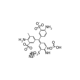 Cc1cc(/C(=C2/C=CC(=N)C(S(=O)(=O)O)=C2)c2ccc(N)c(S(=O)(=O)[O-])c2)cc(S(=O)(=O)[O-])c1N.O=S(O)O.[Na+].[Na+]